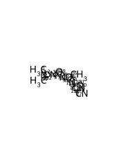 Cc1cc(N2CC3(CN(CC4CN(c5ccc(C#N)c6ncccc56)CC(C)O4)CCO3)C2)cc(C)n1